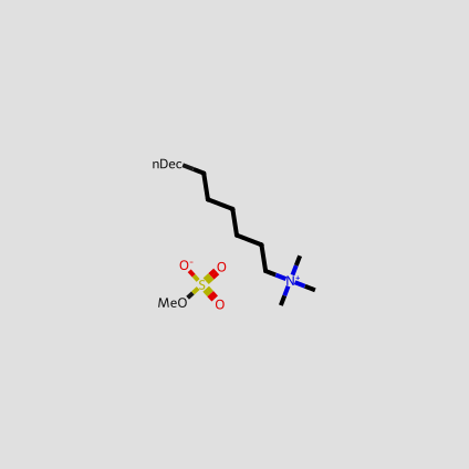 CCCCCCCCCCCCCCCC[N+](C)(C)C.COS(=O)(=O)[O-]